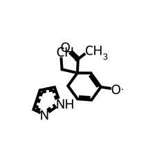 CCC1(C(C)=O)C=C([O])C=CC1.c1cn[nH]c1